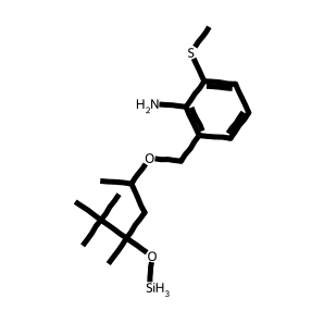 CSc1cccc(COC(C)CC(C)(O[SiH3])C(C)(C)C)c1N